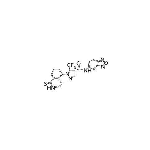 O=C(Nc1ccc2nonc2c1)c1cnn(-c2cccc3c(=S)[nH]ccc23)c1C(F)(F)F